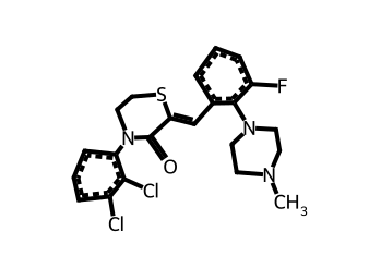 CN1CCN(c2c(F)cccc2C=C2SCCN(c3cccc(Cl)c3Cl)C2=O)CC1